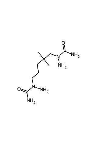 CC(C)(CCCN(N)C(N)=O)CN(N)C(N)=O